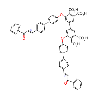 O=C(/C=C/c1ccc(-c2ccc(Oc3cc(-c4cc(Oc5ccc(-c6ccc(/C=C/C(=O)c7ccccc7)cc6)cc5)c(C(=O)O)c(C(=O)O)c4)cc(C(=O)O)c3C(=O)O)cc2)cc1)c1ccccc1